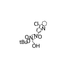 CC(C)(C)OC(=O)N1CCN(C(=O)c2ccc3c(Cl)c4c(nc3c2)CCCC4)CC1CCO